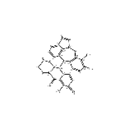 O=C1c2c(O)c(=O)ccn2N(C2c3ccc(F)c(F)c3Cn3cnc4cccc2c43)C2COCCN12